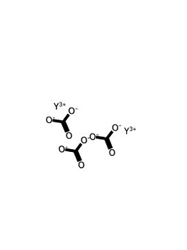 O=C([O-])[O-].O=C([O-])[O-].O=C([O-])[O-].[Y+3].[Y+3]